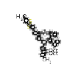 CCCCCCCCC1(CCCCCCCC)c2cc(C)ccc2-c2ccc(-c3cc(-c4cc(-c5cccc6ccccc56)cc(-c5cccc6ccccc56)c4)cc(-c4ccc5c(c4)C(CCCCCCCC)(CCCCCCCC)c4cc(-c6ccc7c(c6)sc6c8ccc(C)cc8sc76)ccc4-5)c3)cc21